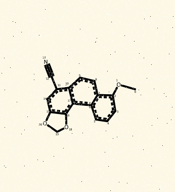 COc1cccc2c1ccc1c(C#N)cc3c(c12)OCO3